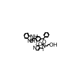 C[C@@H](c1ccncc1)N(CCO)C(=O)OC(c1ccccc1)c1ccc(C(=O)Nc2ccccc2N)cc1